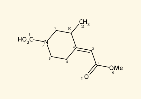 COC(=O)C=C1CCN(C(=O)O)CC1C